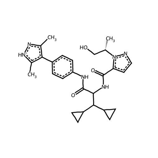 Cc1n[nH]c(C)c1-c1ccc(NC(=O)C(NC(=O)c2ccnn2[C@@H](C)CO)C(C2CC2)C2CC2)cc1